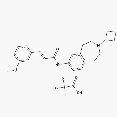 COc1cccc(/C=C/C(=O)Nc2ccc3c(c2)CCN(C2CCC2)CC3)c1.O=C(O)C(F)(F)F